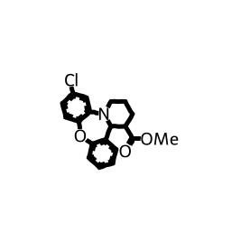 COC(=O)C1CCCN2c3cc(Cl)ccc3Oc3ccccc3C12